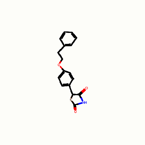 O=C1NC(=O)C(c2ccc(OCCc3ccccc3)cc2)S1